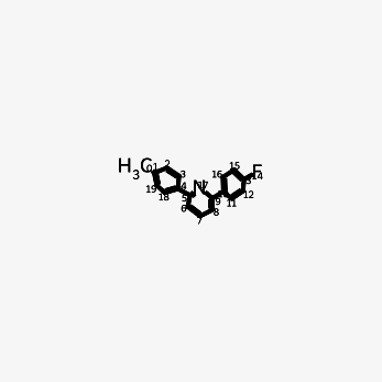 Cc1ccc(-c2cccc(-c3ccc(F)cc3)n2)cc1